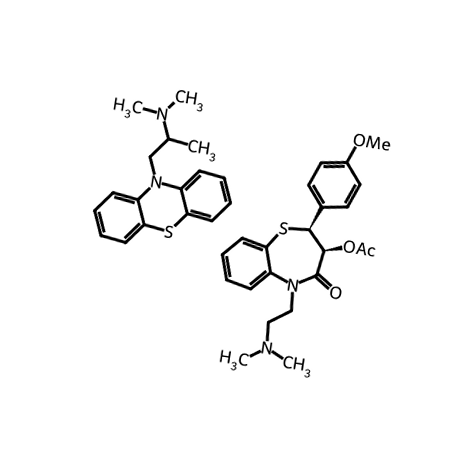 CC(CN1c2ccccc2Sc2ccccc21)N(C)C.COc1ccc([C@@H]2Sc3ccccc3N(CCN(C)C)C(=O)[C@@H]2OC(C)=O)cc1